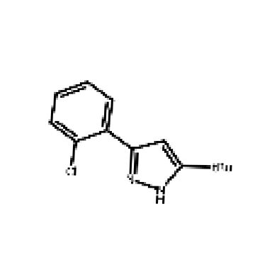 CC(C)(C)c1cc(-c2ccccc2Cl)n[nH]1